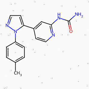 Cc1ccc(-n2nccc2-c2ccnc(NC(N)=O)c2)cc1